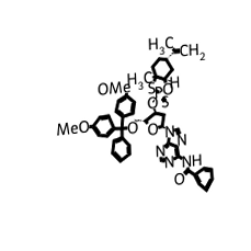 C=C(C)[C@H]1CC[C@@]2(C)S[P@@](=S)(O[C@H]3C[C@H](n4cnc5c(NC(=O)c6ccccc6)ncnc54)O[C@@H]3COC(c3ccccc3)(c3ccc(OC)cc3)c3ccc(OC)cc3)O[C@@H]2C1